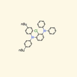 CCCCc1ccc(N(c2ccc(CCCC)cc2)c2cccc(N(c3ccccc3)c3ccccc3)c2Cl)cc1